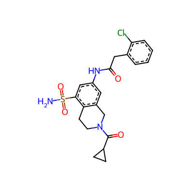 NS(=O)(=O)c1cc(NC(=O)Cc2ccccc2Cl)cc2c1CCN(C(=O)C1CC1)C2